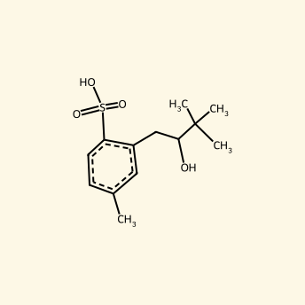 Cc1ccc(S(=O)(=O)O)c(CC(O)C(C)(C)C)c1